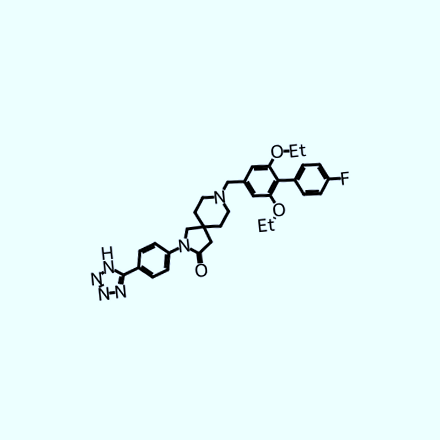 CCOc1cc(CN2CCC3(CC2)CC(=O)N(c2ccc(-c4nnn[nH]4)cc2)C3)cc(OCC)c1-c1ccc(F)cc1